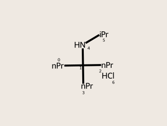 CCCC(CCC)(CCC)NC(C)C.Cl